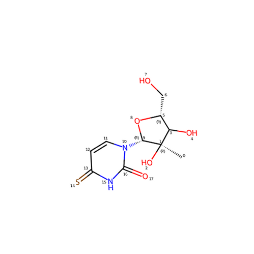 C[C@@]1(O)C(O)[C@@H](CO)O[C@H]1n1ccc(=S)[nH]c1=O